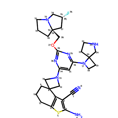 N#Cc1c(N)sc2c1C1(CCC2)CN(c2cc(N3CCC34CCNC4)nc(OC[C@@]34CCCN3C[C@H](F)C4)n2)C1